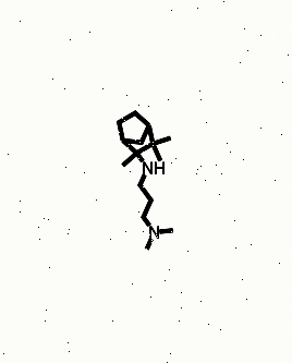 CN(C)CCCNC1(C)C2CCC(C2)C1(C)C